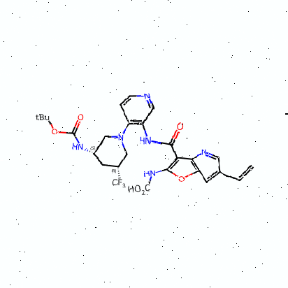 C=Cc1cnc2c(C(=O)Nc3cnccc3N3C[C@@H](NC(=O)OC(C)(C)C)C[C@@H](C(F)(F)F)C3)c(NC(=O)O)oc2c1